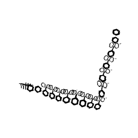 O=C([O-])c1ccccc1.O=C([O-])c1ccccc1.O=C([O-])c1ccccc1.O=C([O-])c1ccccc1.O=C([O-])c1ccccc1.O=C([O-])c1ccccc1.O=C([O-])c1ccccc1.O=C([O-])c1ccccc1.O=C([O-])c1ccccc1.O=C([O-])c1ccccc1.O=C([O-])c1ccccc1.O=C([O-])c1ccccc1.[Ti+4].[Ti+4].[Ti+4].c1ccccc1.c1ccccc1.c1ccccc1.c1ccccc1